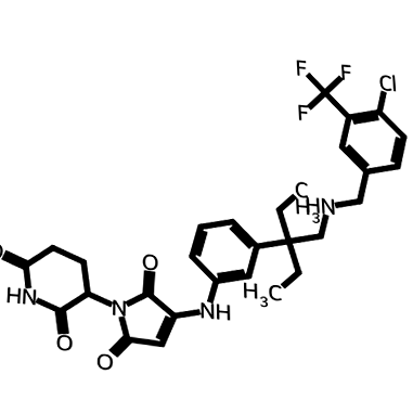 CCC(CC)(CNCc1ccc(Cl)c(C(F)(F)F)c1)c1cccc(NC2=CC(=O)N(C3CCC(=O)NC3=O)C2=O)c1